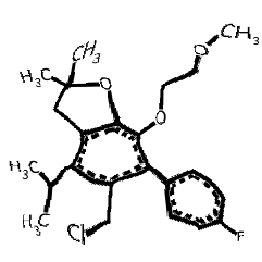 COCCOc1c2c(c(C(C)C)c(CCl)c1-c1ccc(F)cc1)CC(C)(C)O2